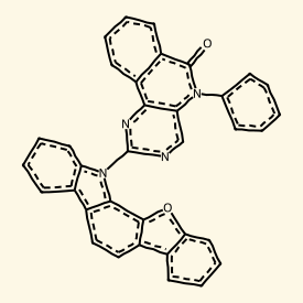 O=c1c2ccccc2c2nc(-n3c4ccccc4c4ccc5c6ccccc6oc5c43)ncc2n1-c1ccccc1